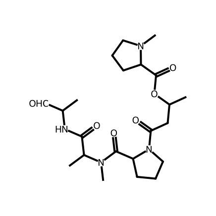 CC(C=O)NC(=O)C(C)N(C)C(=O)C1CCCN1C(=O)CC(C)OC(=O)C1CCCN1C